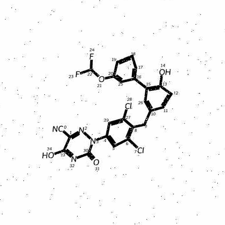 N#Cc1nn(-c2cc(Cl)c(Cc3ccc(O)c(-c4cccc(OC(F)F)c4)c3)c(Cl)c2)c(=O)nc1O